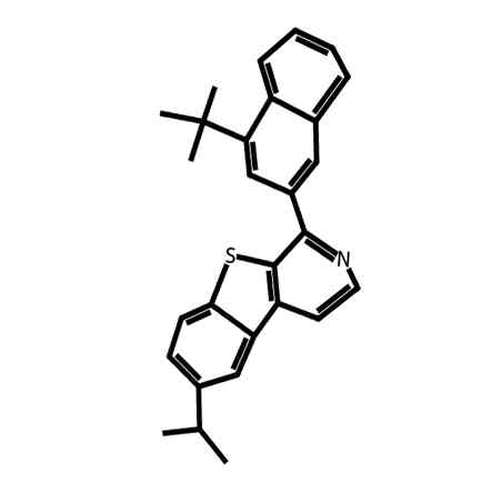 CC(C)c1ccc2sc3c(-c4cc(C(C)(C)C)c5ccccc5c4)nccc3c2c1